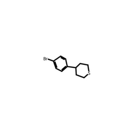 Brc1ccc(C2CCSCC2)cc1